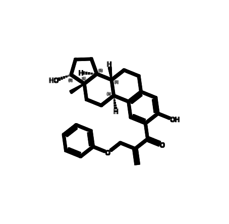 C=C(COc1ccccc1)C(=O)c1cc2c(cc1O)CC[C@@H]1[C@@H]2CC[C@]2(C)[C@H](O)CC[C@@H]12